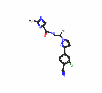 Cc1nc(C(=O)NC[C@@H](C)n2ccc(-c3ccc(C#N)c(Cl)c3)n2)c[nH]1